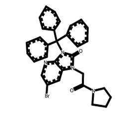 O=C(Cn1c(=O)n(C(c2ccccc2)(c2ccccc2)c2ccccc2)c2ncc(Br)cc21)N1CCCC1